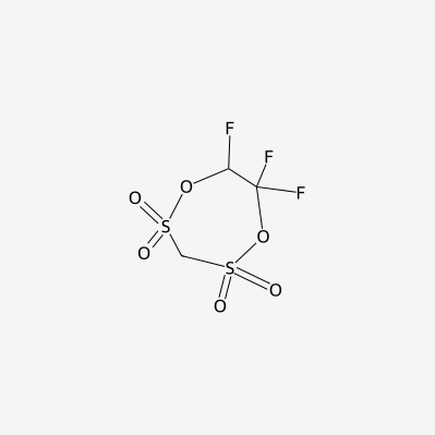 O=S1(=O)CS(=O)(=O)OC(F)(F)C(F)O1